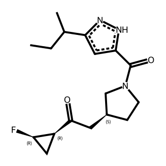 CCC(C)c1cc(C(=O)N2CC[C@@H](CC(=O)[C@H]3C[C@H]3F)C2)[nH]n1